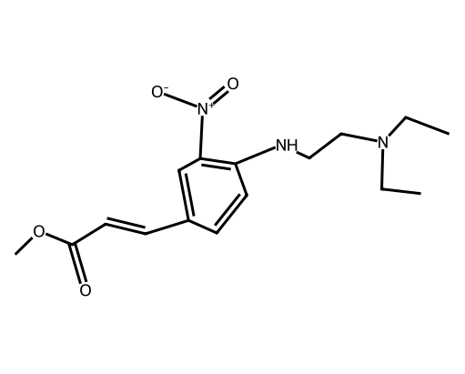 CCN(CC)CCNc1ccc(C=CC(=O)OC)cc1[N+](=O)[O-]